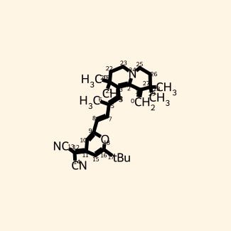 C=C1C2=C(/C=C(C)/C=C/C3=CC(=C(C#N)C#N)C=C(C(C)(C)C)O3)C(C)(C)CCN2CCC1(C)C